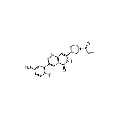 C=CC(=O)N1CCC(c2cc3ncc(-c4cc(O)ccc4F)cc3c(=O)[nH]2)C1